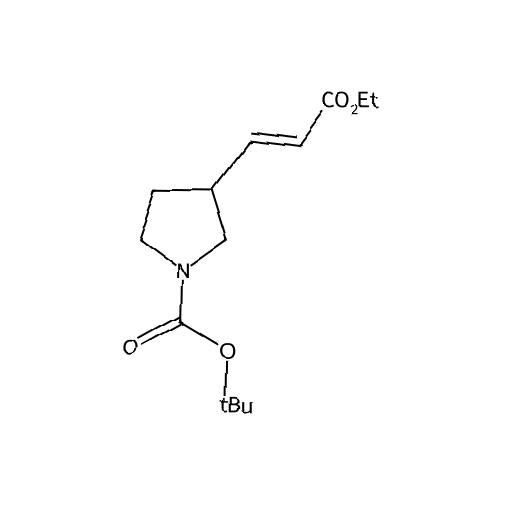 CCOC(=O)C=CC1CCN(C(=O)OC(C)(C)C)C1